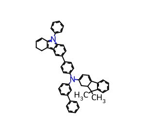 CC1(C)c2ccccc2C2=CC=C(N(c3ccc(-c4ccc5c(c4)c4c(n5-c5ccccc5)C=CCC4)cc3)c3cccc(-c4ccccc4)c3)CC21